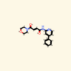 O=C(C=CC(=O)N1CCOCC1)Nc1cc(-c2ccccc2)ccn1